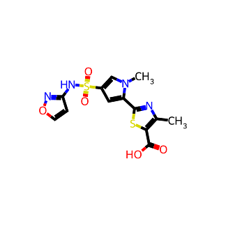 Cc1nc(-c2cc(S(=O)(=O)Nc3ccon3)cn2C)sc1C(=O)O